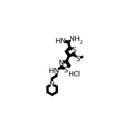 CSc1sc(C(=N)N)cc1-c1csc(NCCN2CCCCC2)n1.Cl